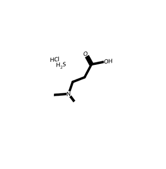 CN(C)CCC(=O)O.Cl.S